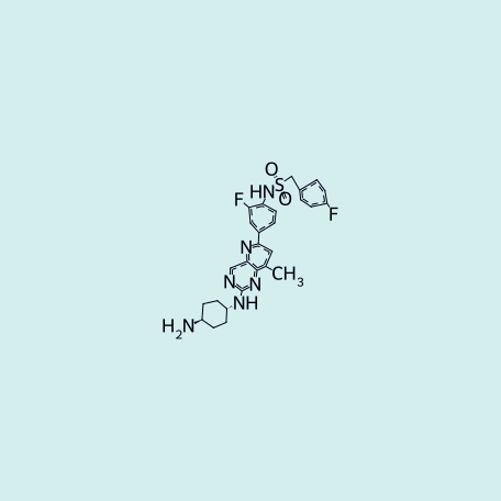 Cc1cc(-c2ccc(NS(=O)(=O)Cc3ccc(F)cc3)c(F)c2)nc2cnc(N[C@H]3CC[C@H](N)CC3)nc12